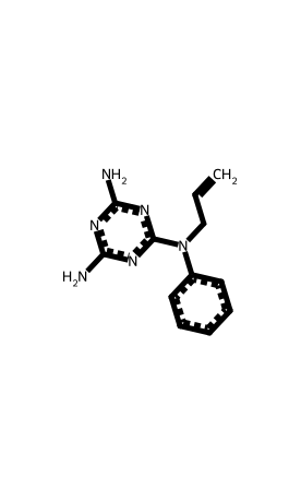 C=CCN(c1ccccc1)c1nc(N)nc(N)n1